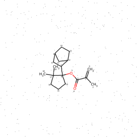 C=C(C)C(=O)OC1(C2CC3CCC2C3)CCCC1(C)C